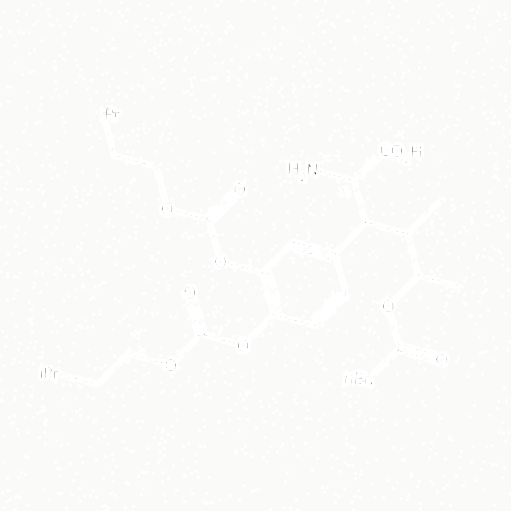 CCCCC(=O)OC(C)C(C)C(c1ccc(OC(=O)OCCC(C)C)c(OC(=O)OCCC(C)C)c1)[C@H](N)C(=O)O